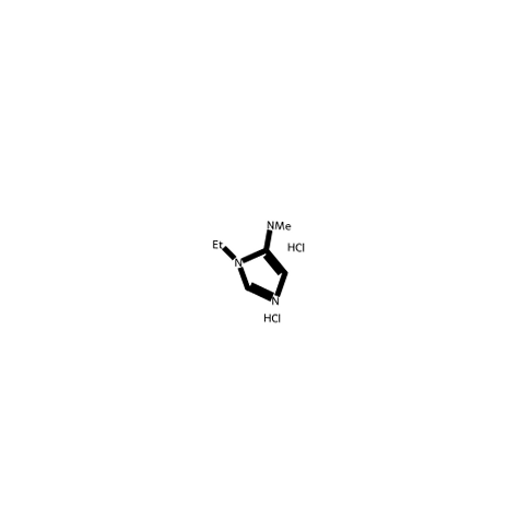 CCn1cncc1NC.Cl.Cl